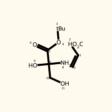 C=CC(=O)O.CC(C)(C)OC(=O)C(N)(O)CO